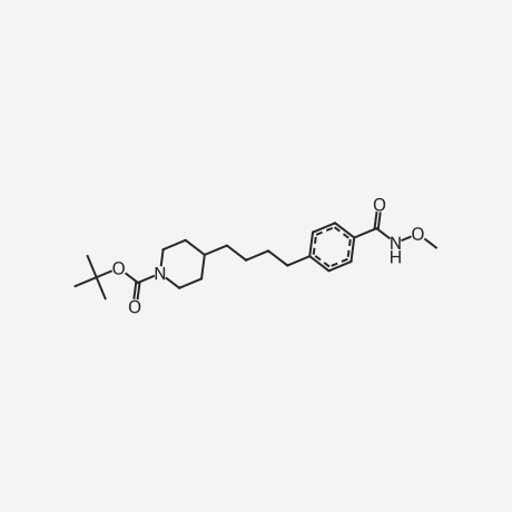 CONC(=O)c1ccc(CCCCC2CCN(C(=O)OC(C)(C)C)CC2)cc1